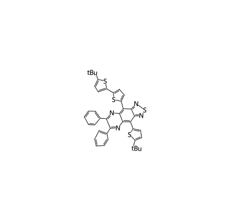 CC(C)(C)c1ccc(-c2ccc(-c3c4nsnc4c(-c4ccc(C(C)(C)C)s4)c4nc(-c5ccccc5)c(-c5ccccc5)nc34)s2)s1